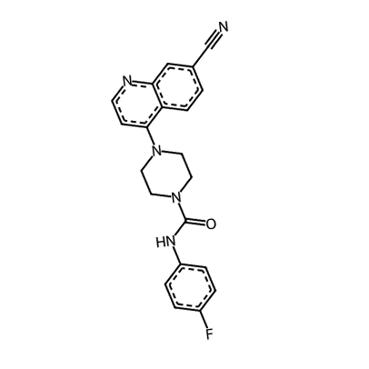 N#Cc1ccc2c(N3CCN(C(=O)Nc4ccc(F)cc4)CC3)ccnc2c1